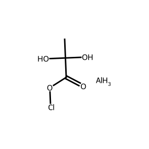 CC(O)(O)C(=O)OCl.[AlH3]